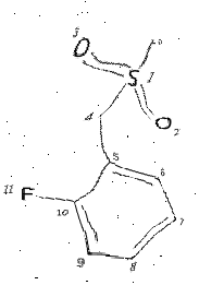 [CH2]S(=O)(=O)Cc1ccccc1F